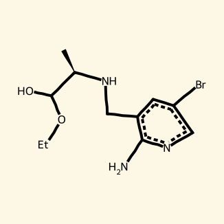 CCOC(O)[C@@H](C)NCc1cc(Br)cnc1N